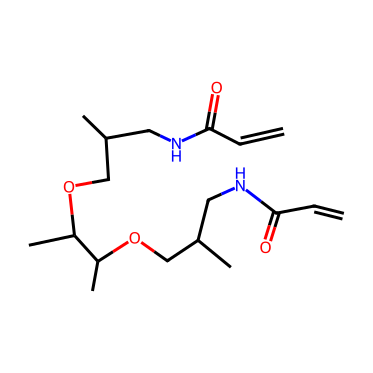 C=CC(=O)NCC(C)COC(C)C(C)OCC(C)CNC(=O)C=C